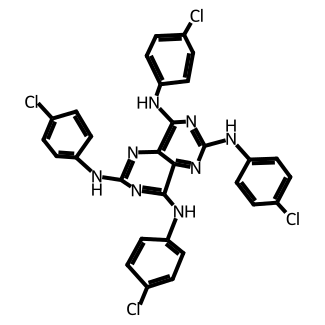 Clc1ccc(Nc2nc(Nc3ccc(Cl)cc3)c3nc(Nc4ccc(Cl)cc4)nc(Nc4ccc(Cl)cc4)c3n2)cc1